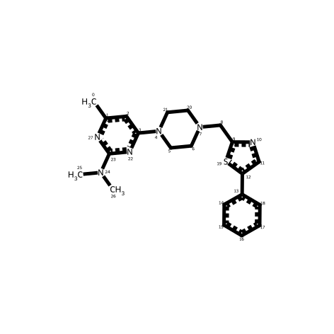 Cc1cc(N2CCN(Cc3ncc(-c4ccccc4)s3)CC2)nc(N(C)C)n1